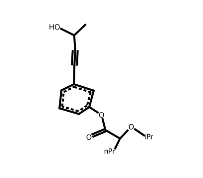 CCCC(OC(C)C)C(=O)Oc1cccc(C#CC(C)O)c1